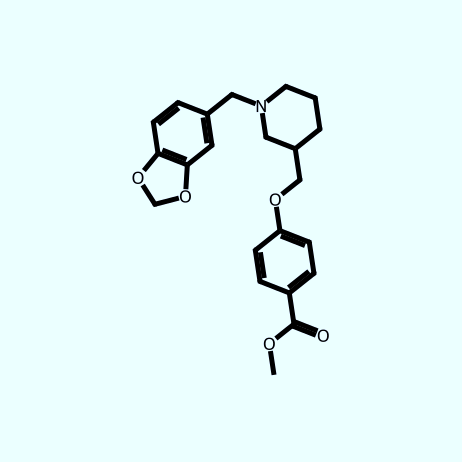 COC(=O)c1ccc(OCC2CCCN(Cc3ccc4c(c3)OCO4)C2)cc1